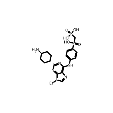 CCn1cnc2c(Nc3ccc(P(=O)(O)CP(=O)(O)O)cc3)nc([C@H]3CC[C@H](N)CC3)nc21